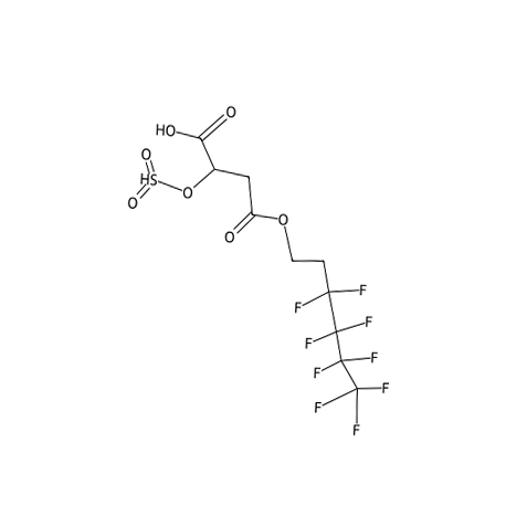 O=C(CC(O[SH](=O)=O)C(=O)O)OCCC(F)(F)C(F)(F)C(F)(F)C(F)(F)F